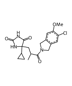 COc1cc2c(cc1Cl)CN(C(=O)C(C)CC1(C3CC3)NC(=O)NC1=O)C2